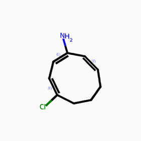 NC1=C/C=C(/Cl)CCC/C=C\1